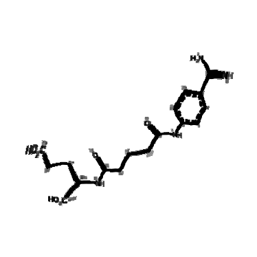 N=C(N)c1ccc(NC(=O)CCCC(=O)NC(CCC(=O)O)C(=O)O)cc1